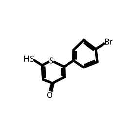 O=c1cc(S)sc(-c2ccc(Br)cc2)c1